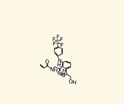 C=CC(=O)NCC(=N)c1c(Nc2ccc(S(F)(F)(F)(F)F)cc2)cccc1C(O)CO